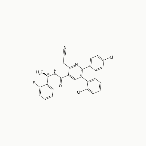 C[C@@H](NC(=O)c1cc(-c2ccccc2Cl)c(-c2ccc(Cl)cc2)nc1CC#N)c1ccccc1F